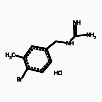 Cc1cc(CNC(=N)N)ccc1Br.Cl